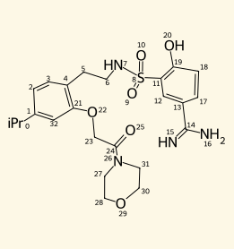 CC(C)c1ccc(CCNS(=O)(=O)c2cc(C(=N)N)ccc2O)c(OCC(=O)N2CCOCC2)c1